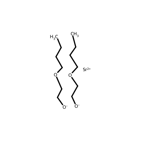 CCCCOCC[O-].CCCCOCC[O-].[Sr+2]